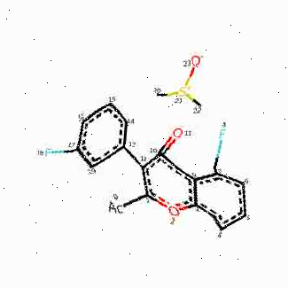 CC(=O)c1oc2cccc(F)c2c(=O)c1-c1cccc(F)c1.C[S+](C)[O-]